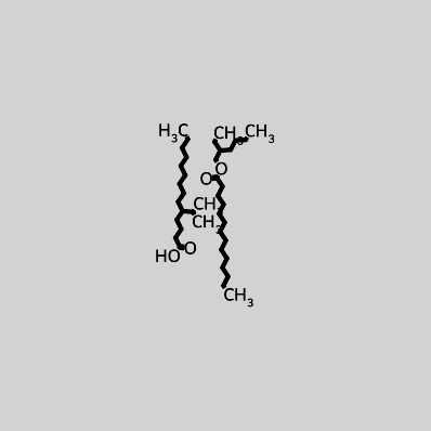 CCCCCCCCCC(CCCC(=O)O)C(C)C.CCCCCCCCCCCCCC(=O)OCC(CC)CCCC